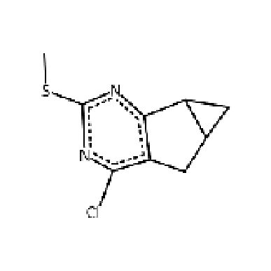 CSc1nc(Cl)c2c(n1)C1CC1C2